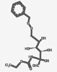 O=C[C@@](O)(NC(=O)OCC(Cl)(Cl)Cl)[C@@H](O)[C@H](O)[C@H](O)COOCc1ccccc1